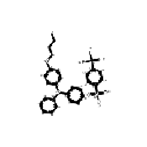 CCCCOc1ccc([S+](c2ccccc2)c2ccccc2)cc1.O=S(=O)([O-])c1ccc(C(F)(F)F)cc1